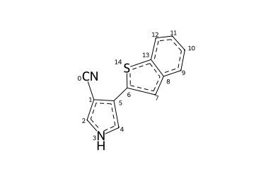 N#Cc1c[nH]cc1-c1cc2ccccc2s1